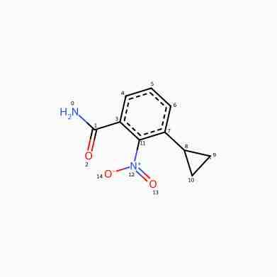 NC(=O)c1cccc(C2[CH]C2)c1[N+](=O)[O-]